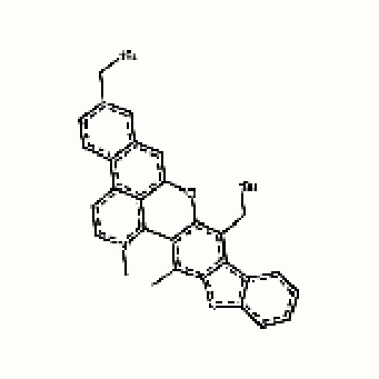 Cc1c2c(c(CC(C)(C)C)c3c1sc1ccccc13)Oc1cc3cc(CC(C)(C)C)ccc3c3cc[n+](C)c-2c13